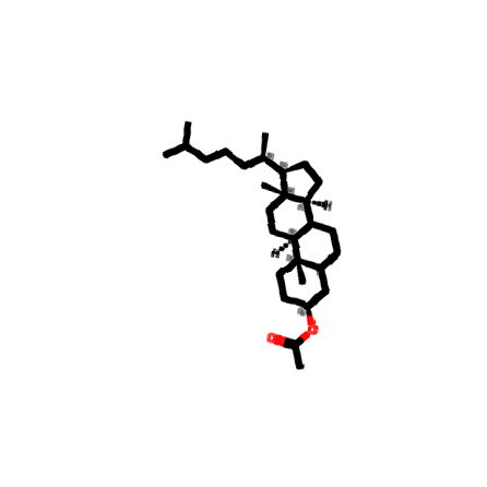 CC(=O)O[C@H]1CC[C@@]2(C)C(CCC3[C@@H]4CC[C@H]([C@H](C)CCCC(C)C)[C@@]4(C)CC[C@@H]32)C1